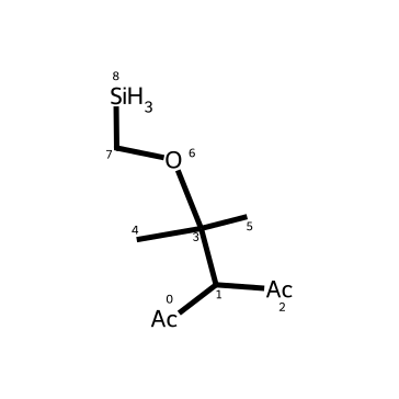 CC(=O)C(C(C)=O)C(C)(C)OC[SiH3]